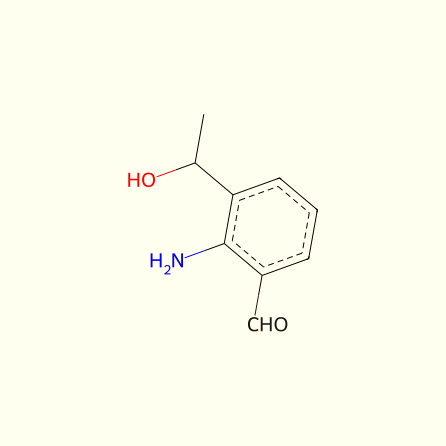 CC(O)c1cccc(C=O)c1N